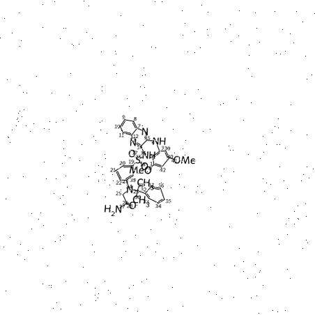 COc1cc(Nc2nc3ccccc3nc2NS(=O)(=O)c2cccc(N(CC(N)=O)C(C)(C)c3ccccc3)c2)cc(OC)c1